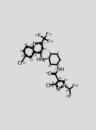 O=C(N[C@@H]1CCC[C@H](Nc2cc(C(F)(F)F)nc3ccc(Cl)cc23)C1)c1cn(C(F)F)nc1Cl